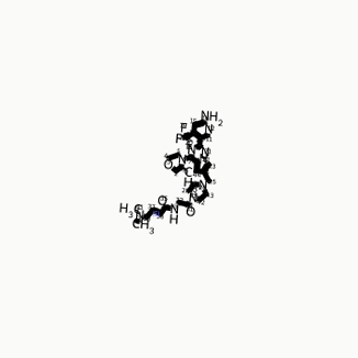 C[C@H]1COCCN1c1nc(-c2cnc(N)cc2C(F)(F)F)nn2cc(CN3CCN(C(=O)CNC(=O)/C=C/CN(C)C)CC3)cc12